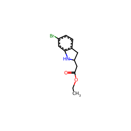 CCOC(=O)CC1Cc2ccc(Br)cc2N1